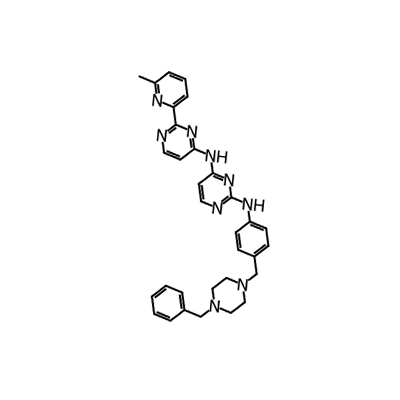 Cc1cccc(-c2nccc(Nc3ccnc(Nc4ccc(CN5CCN(Cc6ccccc6)CC5)cc4)n3)n2)n1